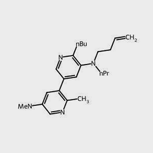 C=CCCN(CCC)c1cc(-c2cc(NC)cnc2C)cnc1CCCC